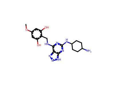 COc1cc(O)c(CNc2nc(NC3CCC(N)CC3)nc3[nH]nnc23)c(O)c1